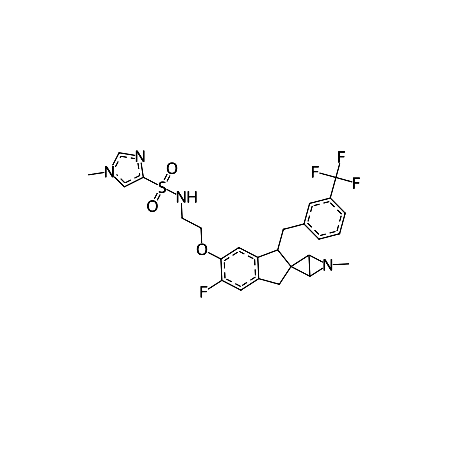 CN1C2C1C21Cc2cc(F)c(OCCNS(=O)(=O)c3cn(C)cn3)cc2C1Cc1cccc(C(F)(F)F)c1